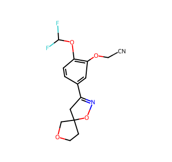 N#CCOc1cc(C2=NOC3(CCOC3)C2)ccc1OC(F)F